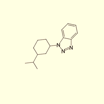 CC(C)C1CCCC(n2nnc3ccccc32)C1